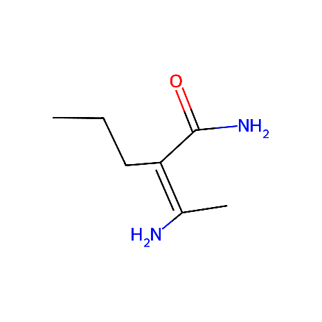 CCCC(C(N)=O)=C(C)N